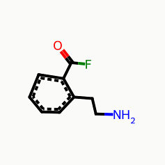 NCCc1ccccc1C(=O)F